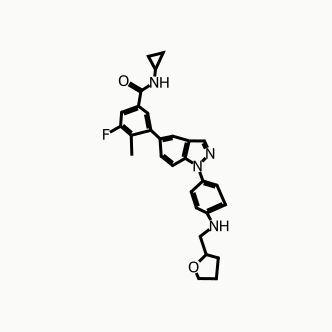 Cc1c(F)cc(C(=O)NC2CC2)cc1-c1ccc2c(cnn2-c2ccc(NCC3CCCO3)cc2)c1